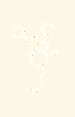 CCCCN1CC[O][Sn]([O]C(=O)c2ccccc2)([O]C(=O)c2ccccc2)[O]C(C)C1